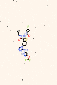 Cn1nc(OC(F)F)cc1Nc1nncn1[C@H]1CCc2sc(NC(=O)[C@H]3C[C@@H](F)C3)c(C(=O)NCC3CC3)c2C1